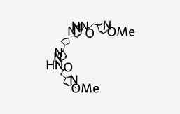 COc1ccc(CC(=O)Nc2ccc([C@H]3CC[C@H](c4ccc(NC(=O)Cc5ccc(OC)nc5)nn4)C3)nn2)cn1